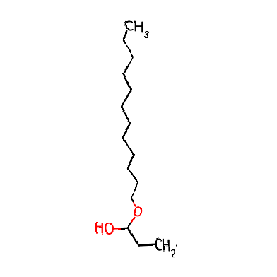 [CH2]CC(O)OCCCCCCCCCCCC